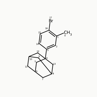 Cc1cc(C23CC4CC(CC(C4)C2)C3)ccc1Br